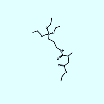 CCOC(=O)CC(C)C(=O)NCCC[Si](OCC)(OCC)OCC